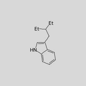 CCC(CC)Cc1c[nH]c2ccccc12